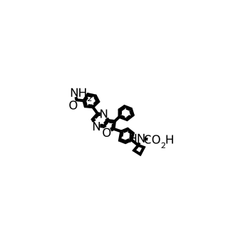 NC(=O)c1cccc(-c2cnc3oc(-c4ccc(C5(NC(=O)O)CCC5)cc4)c(-c4ccccc4)c3n2)c1